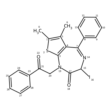 Cc1sc2c(c1C)C(c1ccccc1)=NC(I)C(=O)N2CC(=O)c1ccccc1